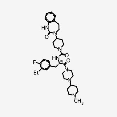 CCc1cc(C[C@@H](NC(=O)N2CCC(N3CCc4ccccc4NC3=O)CC2)C(=O)N2CCN(C3CCN(C)CC3)CC2)ccc1F